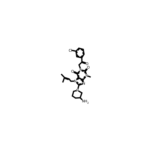 CC(C)=CCn1c(N2CCCC(N)C2)nc2c1c(=O)n(CC(=O)c1cccc(Cl)c1)c(=O)n2C